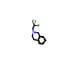 CCC(F)CN1CCc2ccccc2C1